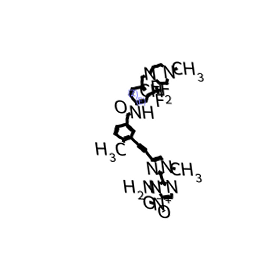 C=C(/C=C\C(=C/CC(F)(F)F)NC(=O)c1ccc(C)c(C#Cc2cn(C)c(-c3ncc([N+](=O)[O-])n3N)n2)c1)CN1CCN(C)CC1